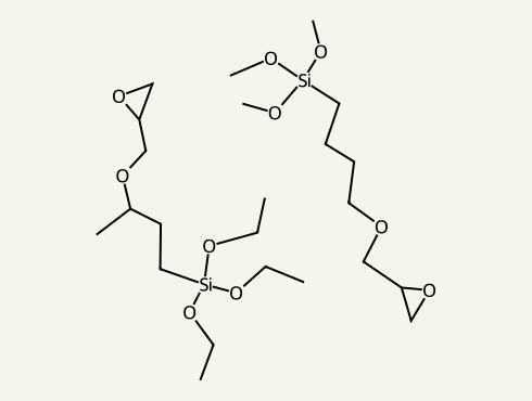 CCO[Si](CCC(C)OCC1CO1)(OCC)OCC.CO[Si](CCCCOCC1CO1)(OC)OC